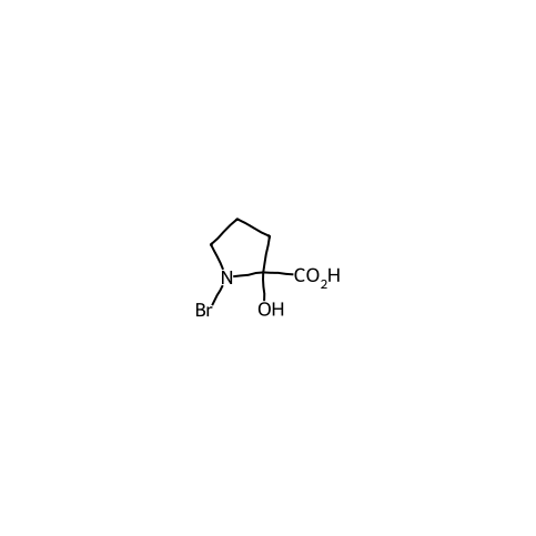 O=C(O)C1(O)CCCN1Br